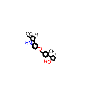 O=C(O)CC1CCc2c1[nH]c1ccc(OCc3ccc(C4CCCC4O)c(C(F)(F)F)c3)cc21